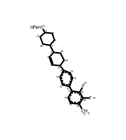 CCCCCC1CCC(C2C=CC(c3ccc(-c4ccc(C)c(F)c4F)cc3)CC2)CC1